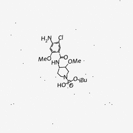 CCC(C)OP(=O)(O)N1CCC(NC(=O)c2cc(Cl)c(N)cc2OC)C(OC)C1